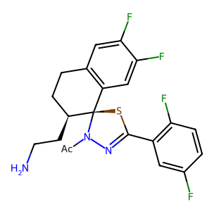 CC(=O)N1N=C(c2cc(F)ccc2F)S[C@@]12c1cc(F)c(F)cc1CC[C@@H]2CCN